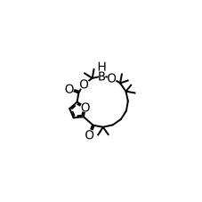 CC1(C)BOC(C)(C)C(C)(C)CCCCC(C)(C)C(=O)c2ccc(o2)C(=O)O1